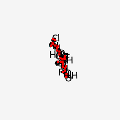 CC1(C)CCC(c2ccc(Cl)cc2)=C(CN2CCN(c3ccc(C(=O)NS(=O)(=O)c4ccc(N[C@H](CCN5CCN(Cc6cc(F)cc(N7CCC(=O)NC7=O)c6)CC5)CSc5ccccc5)c(S(=O)(=O)C(F)(F)F)c4)cc3)CC2)C1